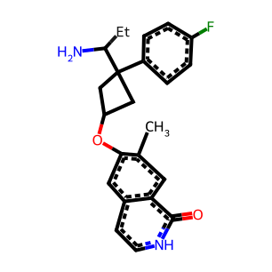 CCC(N)C1(c2ccc(F)cc2)CC(Oc2cc3cc[nH]c(=O)c3cc2C)C1